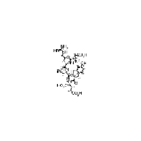 CC(C)C[C@H](NC(=O)[C@H](CCCNC(=N)N)NC(=O)[C@@H](N)CC(=O)O)C(=O)N[C@@H](Cc1ccc(O)cc1)C(=O)N[C@@H](CCC(=O)O)C(=O)O